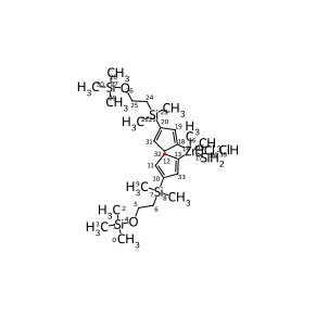 C[Si](C)(C)OCC[Si](C)(C)C1=CC[C]([Zr]([CH3])([CH3])(=[SiH2])[C]2=CC([Si](C)(C)CCO[Si](C)(C)C)=CC2)=C1.Cl.Cl